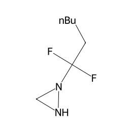 CCCCCC(F)(F)N1CN1